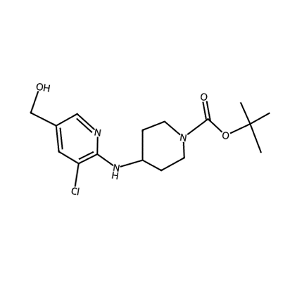 CC(C)(C)OC(=O)N1CCC(Nc2ncc(CO)cc2Cl)CC1